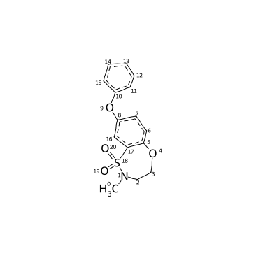 CN1CCOc2ccc(Oc3ccccc3)cc2S1(=O)=O